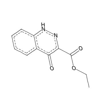 CCOC(=O)c1n[nH]c2ccccc2c1=O